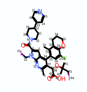 Cc1nc2c(cc(C(=O)N3CCC(c4ccncc4)CC3)n2CI)c(-c2cc(F)c3c(c2C)CCCO3)c1[C@H](OC(C)(C)CI)C(=O)O